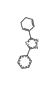 C1=CC(c2nnc(-c3ccccc3)s2)=CCC1